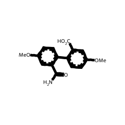 COc1ccc(-c2ccc(OC)cc2C(=O)O)c(C(N)=O)c1